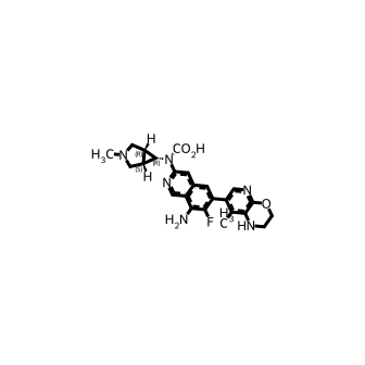 Cc1c(-c2cc3cc(N(C(=O)O)[C@@H]4[C@@H]5CN(C)C[C@@H]54)ncc3c(N)c2F)cnc2c1NCCO2